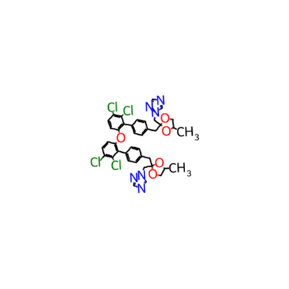 CC1COC(Cc2ccc(-c3c(Oc4ccc(Cl)c(Cl)c4-c4ccc(CC5(Cn6cncn6)OCC(C)O5)cc4)ccc(Cl)c3Cl)cc2)(Cn2cncn2)O1